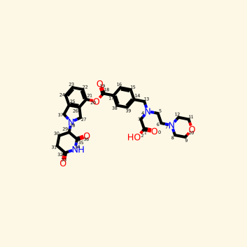 O=C(O)CN(CCN1CCOCC1)Cc1ccc(C(=O)Oc2cccc3c2CN(C2CCC(=O)NC2=O)C3)cc1